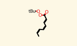 C\C=C/C=C\C=C\C(=O)OOC(C)(C)C